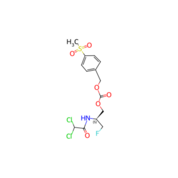 CS(=O)(=O)c1ccc(COC(=O)OC[C@@H](CF)NC(=O)C(Cl)Cl)cc1